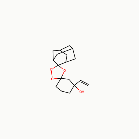 C=CC1(O)CCCC2(C1)OOC1(O2)C2CC3CC(C2)CC1C3